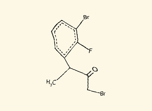 CC(C(=O)CBr)c1cccc(Br)c1F